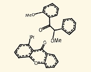 CC(C)c1cccc2oc3ccccc3c(=O)c12.COc1ccccc1C(=O)C(OC)c1ccccc1